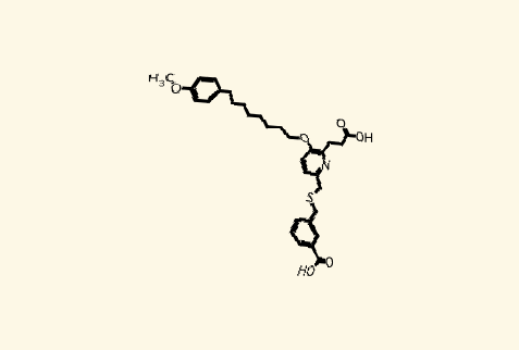 COc1ccc(CCCCCCCCOc2ccc(CSCc3cccc(C(=O)O)c3)nc2CCC(=O)O)cc1